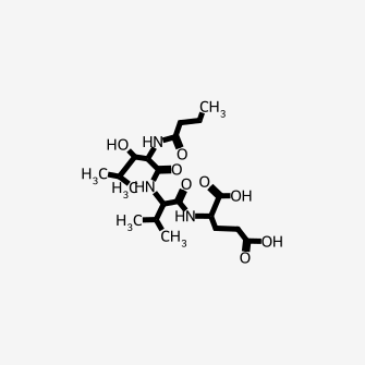 CCCC(=O)NC(C(=O)NC(C(=O)NC(CCC(=O)O)C(=O)O)C(C)C)C(O)C(C)C